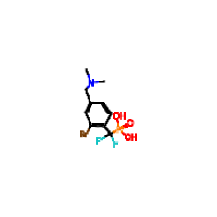 CN(C)Cc1ccc(C(F)(F)P(=O)(O)O)c(Br)c1